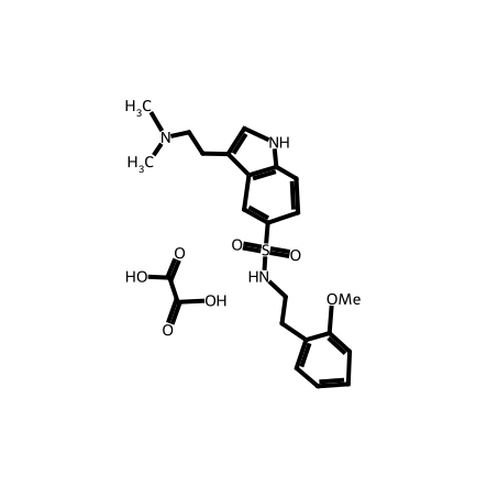 COc1ccccc1CCNS(=O)(=O)c1ccc2[nH]cc(CCN(C)C)c2c1.O=C(O)C(=O)O